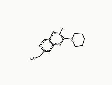 CC(=O)OCc1ccc2nc(C)c(N3CCCCC3)cc2c1